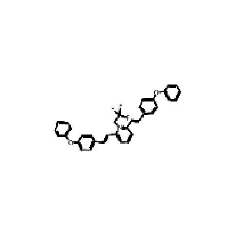 FC(F)(F)C[n+]1c(/C=C/c2ccc(Oc3ccccc3)cc2)cccc1/C=C/c1ccc(Oc2ccccc2)cc1